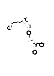 COc1ccc(/N=c2\oc3ccc(Cl)cc3cc2C(=S)NC(=O)OCc2ccc(NC(=O)[C@H](C)NC(=O)C(NC(=O)CCCCC(=O)ON3C(=O)C=CC3=O)C(C)C)cc2)cc1